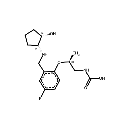 C[C@@H](CNC(=O)O)Oc1ccc(F)cc1CN[C@@H]1CCC[C@@H]1O